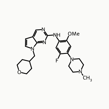 COc1cc(N2CCN(C)CC2)c(F)cc1Nc1ncc2ccn(CC3CCOCC3)c2n1